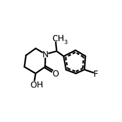 CC(c1ccc(F)cc1)N1CCCC(O)C1=O